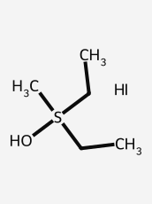 CCS(C)(O)CC.I